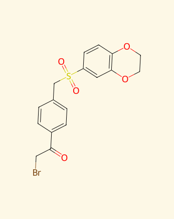 O=C(CBr)c1ccc(CS(=O)(=O)c2ccc3c(c2)OCCO3)cc1